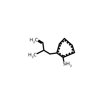 C=CC(C)Cc1ccccc1[SiH3]